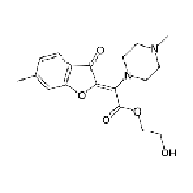 Cc1ccc2c(c1)OC(=C(C(=O)OCCO)N1CCN(C)CC1)C2=O